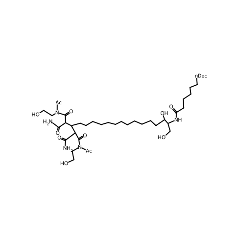 CCCCCCCCCCCCCCCC(=O)NC(CO)C(O)CCCCCCCCCCCCC(C(C(N)=O)C(=O)N(CCO)C(C)=O)C(C(N)=O)C(=O)N(CCO)C(C)=O